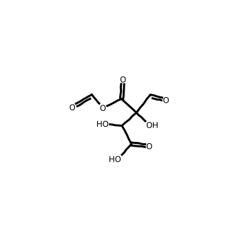 O=COC(=O)C(O)(C=O)C(O)C(=O)O